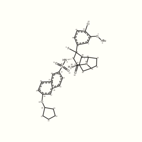 CCCCOc1cc(C(F)(F)[C@@H](NS(=O)(=O)c2ccc3cc(OC4CCCC4)ccc3c2)C(=O)N2C3CCC2CC(N)C3)ccc1Cl